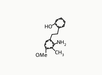 COc1ccc(CCc2ccccc2O)c(N)c1C